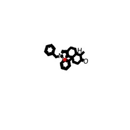 CC1C(=O)CCC2(c3ccccc3)c3nn(Cc4ccccc4)cc3CC[C@@H]12